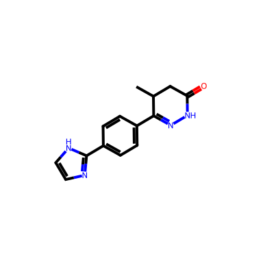 CC1CC(=O)NN=C1c1ccc(-c2ncc[nH]2)cc1